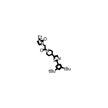 CCn1ccn(CC(=O)N2CCC(c3cnc(-c4cc(C(C)(C)C)cc(C(C)(C)C)c4)s3)CC2)c1=O